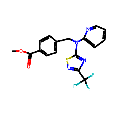 COC(=O)c1ccc(CN(c2ccccn2)c2nc(C(F)(F)F)ns2)cc1